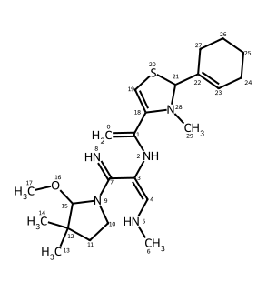 C=C(N/C(=C/NC)C(=N)N1CCC(C)(C)C1OC)C1=CSC(C2=CCCCC2)N1C